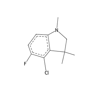 CN1CC(C)(C)c2c1ccc(F)c2Cl